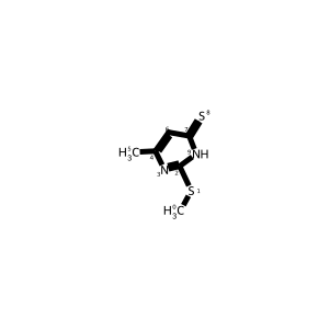 CSc1nc(C)cc(=S)[nH]1